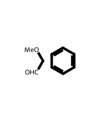 COCC=O.c1ccccc1